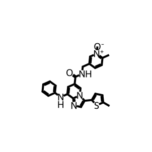 Cc1ccc(-c2cnc3c(Nc4ccccc4)cc(C(=O)NCc4ccc(C)[n+]([O-])c4)cn23)s1